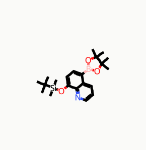 CC1(C)OB(c2ccc(O[Si](C)(C)C(C)(C)C)c3ncccc23)OC1(C)C